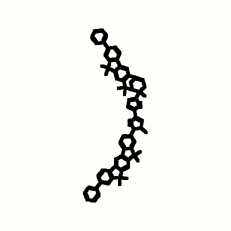 CC1C=C(c2ccc(C3(C)CC=C4CC3C(C)(C)c3cc5c(cc34)-c3ccc(-c4ccccc4)cc3C5(C)C)s2)SC1c1ccc2c(c1)C(C)(C)c1cc3c(cc1-2)-c1ccc(-c2ccccc2)cc1C3(C)C